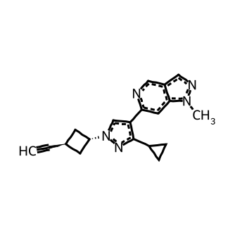 C#C[C@H]1C[C@H](n2cc(-c3cc4c(cn3)cnn4C)c(C3CC3)n2)C1